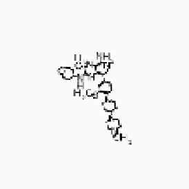 COc1cc(-c2cnc(N)c3nc(C)c(NC4CCOCC4)nc23)ccc1N1CCC(N2CCN(C)CC2)CC1